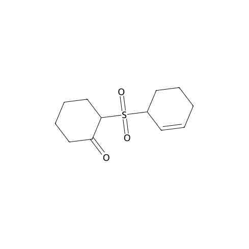 O=C1CCCCC1S(=O)(=O)C1C=CCCC1